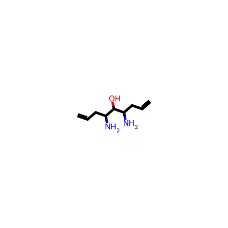 C=CCC(N)C(O)C(N)CC=C